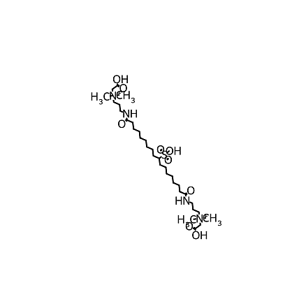 C[N+](C)(CCCNC(=O)CCCCCCCCC(CCCCCCCC(=O)NCCC[N+](C)(C)CC(=O)O)S(=O)(=O)O)CC(=O)O